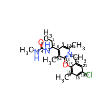 CCC(NC(=O)NC)c1cc(C)nc(Oc2c(C)cc(Cl)cc2C)c1C